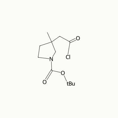 CC1(CC(=O)Cl)CCN(C(=O)OC(C)(C)C)C1